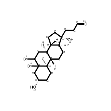 C[C@]12CC[C@H]3[C@@H](CC(Br)C4(Br)C[C@@H](O)CC[C@]34C)[C@@H]1CC[C@@]2(O)CCC=O